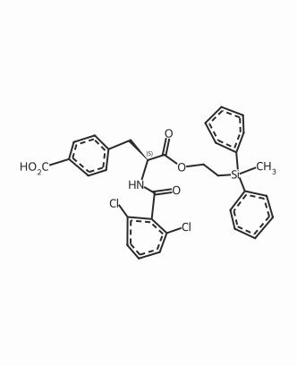 C[Si](CCOC(=O)[C@H](Cc1ccc(C(=O)O)cc1)NC(=O)c1c(Cl)cccc1Cl)(c1ccccc1)c1ccccc1